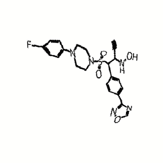 C#CC(NO)C(c1ccc(-c2ncon2)cc1)S(=O)(=O)N1CCN(c2ccc(F)cc2)CC1